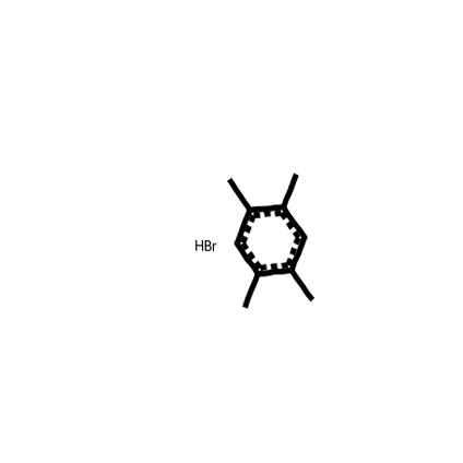 Br.Cc1cc(C)c(C)cc1C